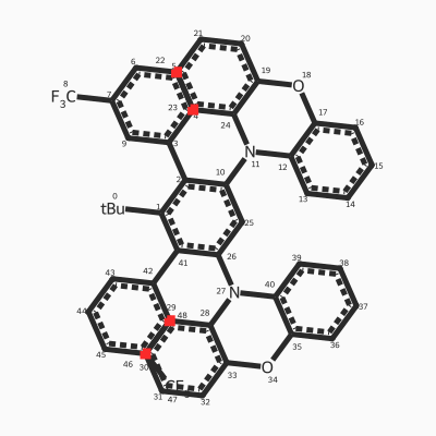 CC(C)(C)c1c(-c2cccc(C(F)(F)F)c2)c(N2c3ccccc3Oc3ccccc32)cc(N2c3ccccc3Oc3ccccc32)c1-c1cccc(C(F)(F)F)c1